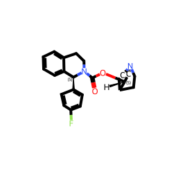 O=C(O[C@@H]1CN2CCC1CC2)N1CCc2ccccc2[C@@H]1c1ccc(F)cc1